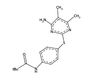 Cc1nc(Sc2ccc(NC(=O)C(C)(C)C)cc2)nc(N)c1C